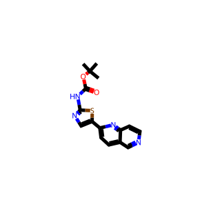 CC(C)(C)OC(=O)Nc1ncc(-c2ccc3cnccc3n2)s1